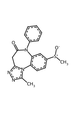 Cc1nnc2n1-c1ccc([S+](C)[O-])cc1N(c1ccccc1)C(=O)C2